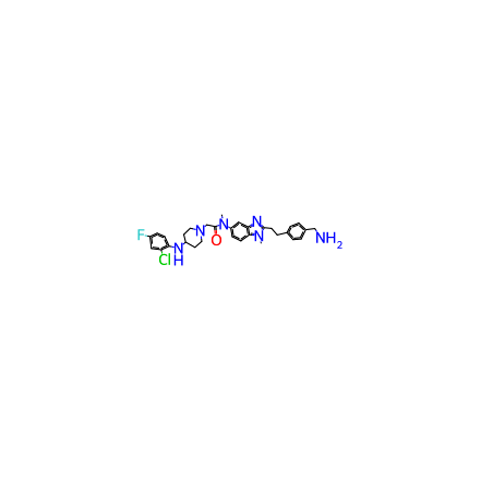 CN(C(=O)CN1CCC(Nc2ccc(F)cc2Cl)CC1)c1ccc2c(c1)nc(CCc1ccc(CN)cc1)n2C